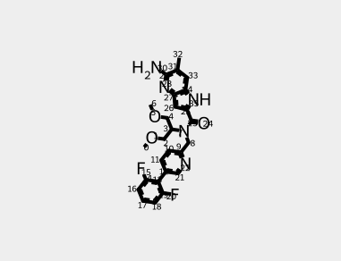 COCC(COC)N(Cc1ccc(-c2c(F)cccc2F)cn1)C(=O)c1cc2nc(N)c(C)cc2[nH]1